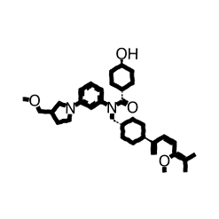 C=C(/C=C\C(OC)=C(C)C)[C@H]1CC[C@H](CN(c2cccc(N3CCC(COC)C3)c2)C(=O)[C@H]2CC[C@H](O)CC2)CC1